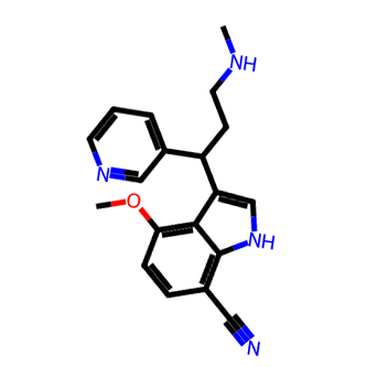 CNCCC(c1cccnc1)c1c[nH]c2c(C#N)ccc(OC)c12